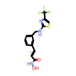 O=C(/C=C/c1cccc(CNc2nc(C(F)(F)F)cs2)c1)NO